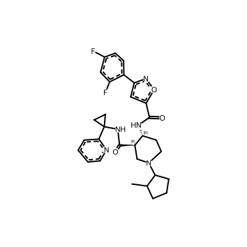 CC1CCCC1N1CC[C@@H](NC(=O)c2cc(-c3ccc(F)cc3F)no2)[C@H](C(=O)NC2(c3ccccn3)CC2)C1